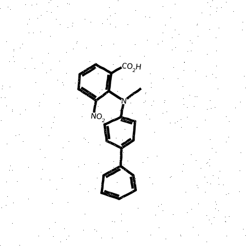 CN(c1ccc(-c2ccccc2)cc1)c1c(C(=O)O)cccc1[N+](=O)[O-]